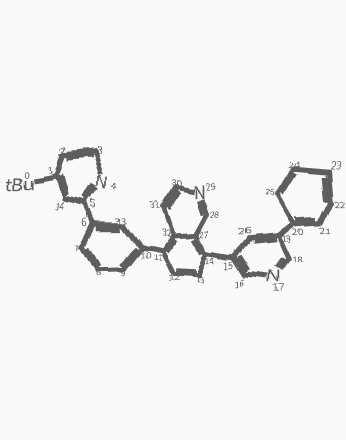 CC(C)(C)c1ccnc(-c2cccc(-c3ccc(-c4cncc(-c5ccccc5)c4)c4cnccc34)c2)c1